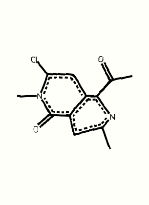 CC(=O)c1nc(C)cc2c(=O)n(C)c(Cl)cc12